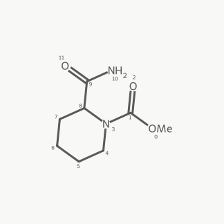 COC(=O)N1CCCCC1C(N)=O